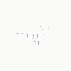 CN1CCC(N(C)C(=O)NC2CC(=O)c3c(Cl)cccc32)CC1